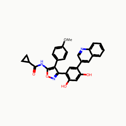 COc1ccc(-c2c(-c3cc(-c4cnc5ccccc5c4)c(O)cc3O)noc2NC(=O)C2CC2)cc1